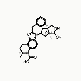 C[C@H]1CCc2c(ccc3c2nc(Cc2ccccc2)n3C2C[C@H]3CNC(O)[C@H]3C2)N1C(=O)O